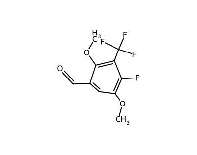 COc1cc(C=O)c(OC)c(C(F)(F)F)c1F